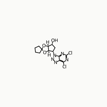 O[C@H]1C[C@@H](n2nnc3c(Cl)nc(Cl)nc32)[C@@H]2OC3(CCCC3)O[C@@H]21